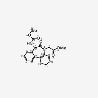 COC(=O)CN1C(=O)[C@@H](NC(=O)OC(C)(C)C)c2ccccc2C2=C1C=CCC2